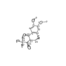 COc1cc2c(cc1OC)C(=O)C(C(=O)C(F)(F)F)CS2